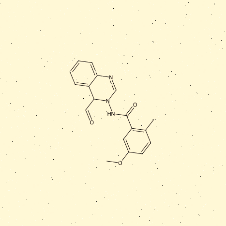 [CH2]c1ccc(OC)cc1C(=O)NN1C=Nc2ccccc2C1C=O